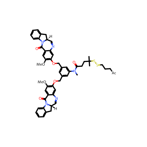 COc1cc2c(cc1OCc1cc(COc3cc4c(cc3OC)C(=O)N3c5ccccc5C[C@H]3C=N4)cc(N(C)C(=O)CCC(C)(C)SSCCCC(C)=O)c1)N=C[C@@H]1Cc3ccccc3N1C2=O